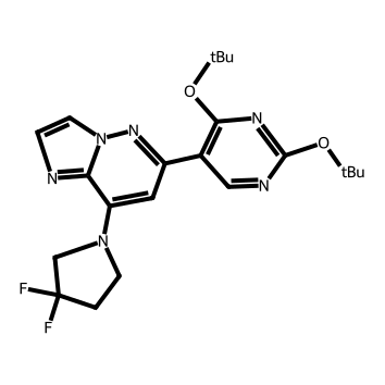 CC(C)(C)Oc1ncc(-c2cc(N3CCC(F)(F)C3)c3nccn3n2)c(OC(C)(C)C)n1